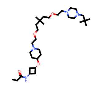 CCC(=O)N[C@H]1C[C@H](OC2CCN(CCOCCC(C)(C)CCOCCN3CCN(CC(C)(C)C)CC3)CC2)C1